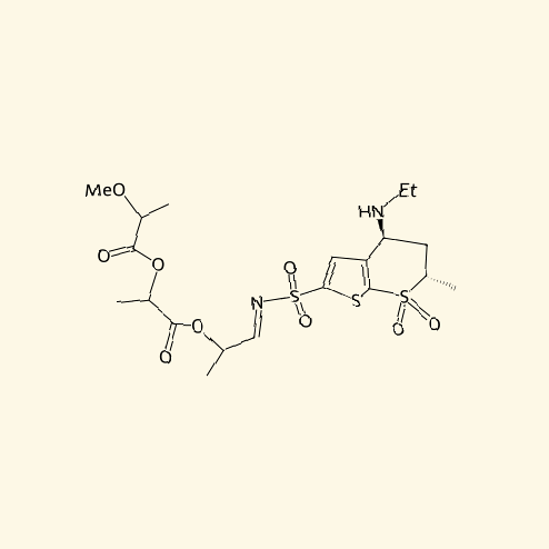 CCN[C@H]1C[C@H](C)S(=O)(=O)c2sc(S(=O)(=O)/N=C/C(C)OC(=O)C(C)OC(=O)C(C)OC)cc21